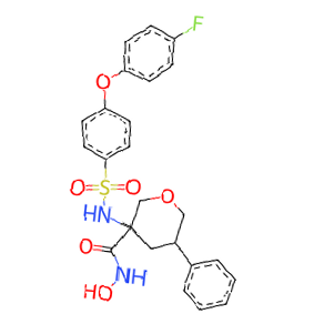 O=C(NO)C1(NS(=O)(=O)c2ccc(Oc3ccc(F)cc3)cc2)COCC(c2ccccc2)C1